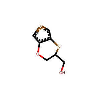 OCC1COc2cscc2S1